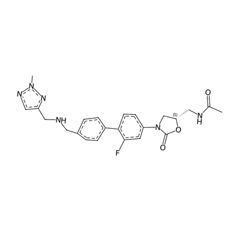 CC(=O)NC[C@H]1CN(c2ccc(-c3ccc(CNCc4cnn(C)n4)cc3)c(F)c2)C(=O)O1